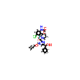 C[Si](C)(C)CCOCn1cc(C(O)c2ccccc2)nc1C(=O)N1CCC[C@@]2(C1)OC(=O)Nc1ccc(Cl)c(F)c12